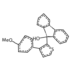 COc1ccc(-c2ccsc2C2(O)c3ccccc3-c3ccccc32)cc1